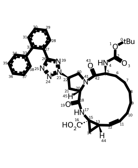 CC(C)(C)OC(=O)N[C@H]1CCCCC/C=C\[C@@H]2C[C@@]2(C(=O)O)NC(=O)[C@@H]2C[C@@H](n3nnc(-c4ccccc4-c4ccccc4)n3)CN2C1=O